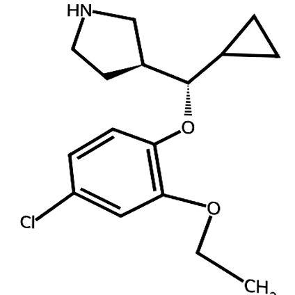 CCOc1cc(Cl)ccc1O[C@@H](C1CC1)[C@H]1CCNC1